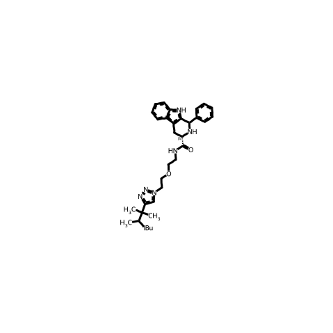 CCC(C)C(C)C(C)(C)c1cn(CCOCCNC(=O)[C@@H]2Cc3c([nH]c4ccccc34)C(c3ccccc3)N2)nn1